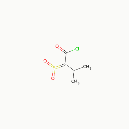 CC(C)C(C(=O)Cl)=S(=O)=O